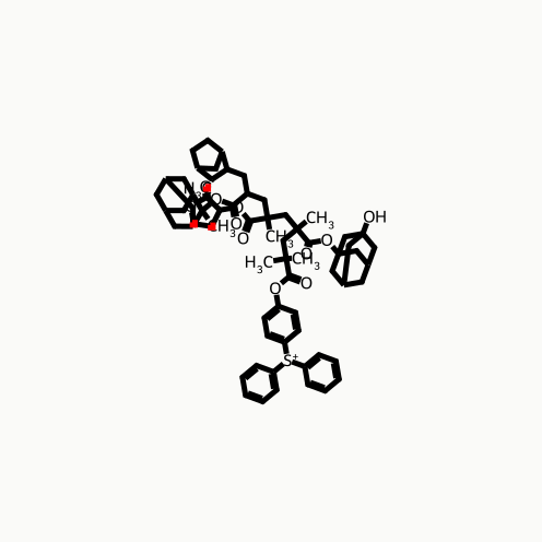 CC1C2CCC(C2)C1CC(CC(C)(CC(C)(CC(C)(C)C(=O)Oc1ccc([S+](c2ccccc2)c2ccccc2)cc1)C(=O)OC12CC3CC(CC(O)(C3)C1)C2)C(=O)OC1CCOC1=O)C(=O)OC1(C)C2CC3CC(C2)CC1C3